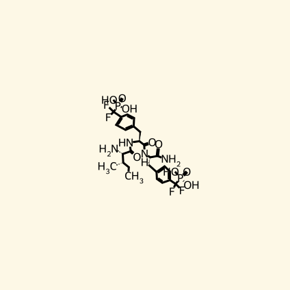 CC[C@H](C)[C@H](N)C(=O)N[C@@H](Cc1ccc(C(F)(F)P(=O)(O)O)cc1)C(=O)N[C@@H](Cc1ccc(C(F)(F)P(=O)(O)O)cc1)C(N)=O